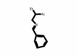 CCC(CN=Cc1ccccc1)C(C)=O